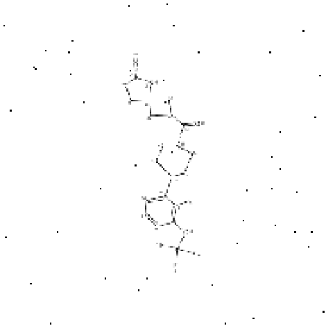 Cc1c(OC(F)(F)F)cccc1C1CCN(C(=O)C2CC3(CCC(=O)N3)C2)CC1